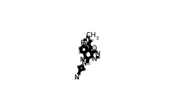 Cn1cnc(-c2cc3c(-c4cn(C5CC(C#N)C5)nc4-c4ccc(F)cc4)ncnc3o2)c1